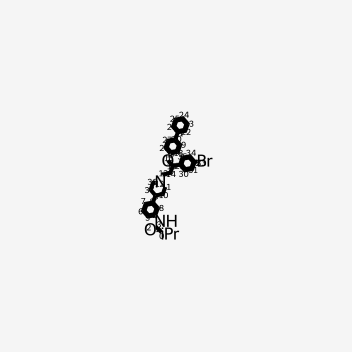 CC(C)C(=O)Nc1cccc(C2CCN(CCC(Oc3ccc(-c4ccccc4)cc3)c3ccc(Br)cc3)CC2)c1